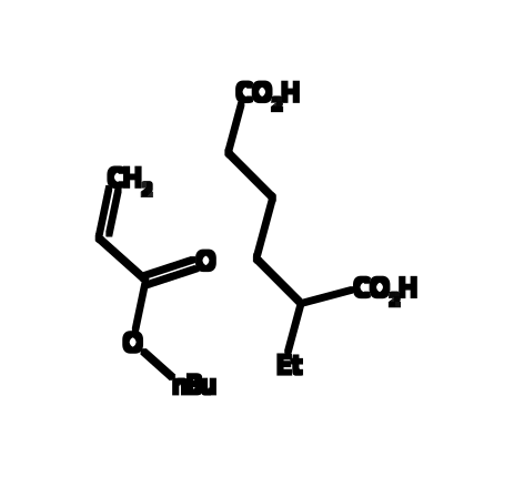 C=CC(=O)OCCCC.CCC(CCCC(=O)O)C(=O)O